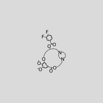 COc1cc2cc(c1OC)OCCCC(OC(=O)c1ccc(F)c(F)c1)CCN1CCCN(CCCOC2=O)CC1